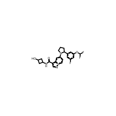 O=C(NC1CC(O)C1)c1cnn2ccc(N3CCCC3c3cc(F)cc(OC(F)F)c3)cc12